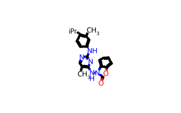 Cc1cc(Nc2ncc(C)c(Nn3c(=O)oc4ccccc43)n2)ccc1C(C)C